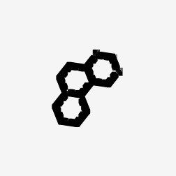 [c]1ncc2c(ccc3ccccc32)n1